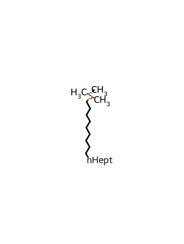 CCCCCCCCCCCCCCCCS(C)(C)C